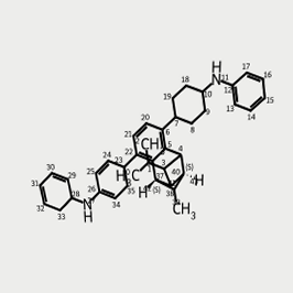 CC(C)C1C2c3c(C4CCC(Nc5ccccc5)CC4)ccc(C4C=CC(NC5C=CC=CC5)=CC4)c3[C@H]3C(C)[C@H]2C13